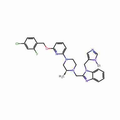 CCn1cncc1Cn1c(CN2CCN(c3cccc(OCc4ccc(Cl)cc4F)n3)C[C@@H]2C)nc2ccccc21